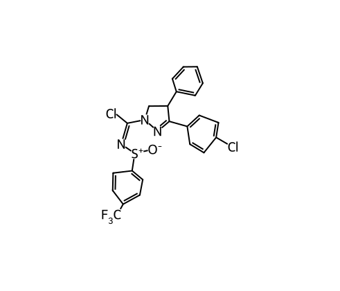 [O-][S+](/N=C(/Cl)N1CC(c2ccccc2)C(c2ccc(Cl)cc2)=N1)c1ccc(C(F)(F)F)cc1